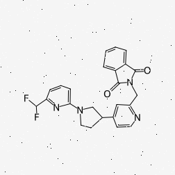 O=C1c2ccccc2C(=O)N1Cc1cc(C2CCN(c3cccc(C(F)F)n3)C2)ccn1